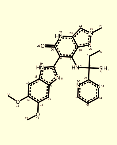 CCC([SiH3])(Nc1c(-c2nc3cc(OC)c(OC)cc3[nH]2)c(=O)[nH]c2cn(C)nc12)c1ncccn1